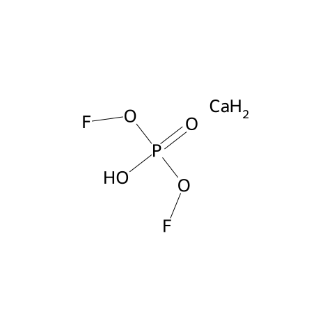 O=P(O)(OF)OF.[CaH2]